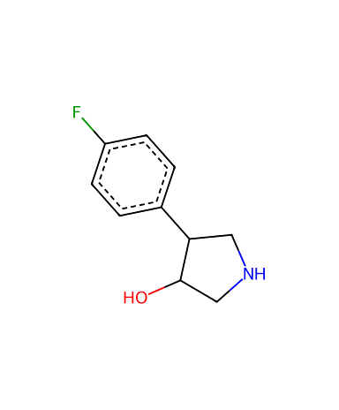 OC1CNCC1c1ccc(F)cc1